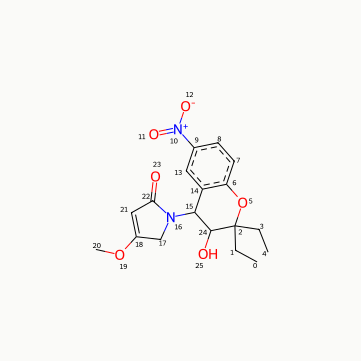 CCC1(CC)Oc2ccc([N+](=O)[O-])cc2C(N2CC(OC)=CC2=O)C1O